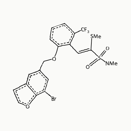 CNS(=O)(=O)C(=Cc1c(OCc2cc(Br)c3occc3c2)cccc1C(F)(F)F)SC